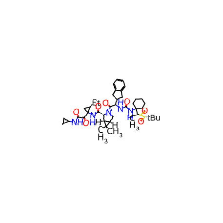 CCC1CC1(NC(=O)[C@@H]1[C@@H]2[C@H](CN1C(=O)[C@H](NC(=O)NC1([C@@H](C)S(=O)(=O)C(C)(C)C)CCCCC1)C1Cc3ccccc3C1)C2(C)C)C(=O)C(=O)NC1CC1